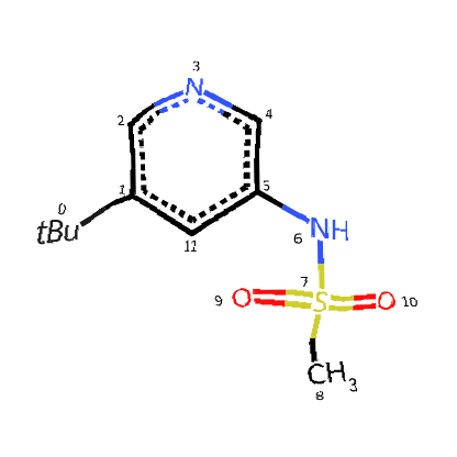 CC(C)(C)c1cncc(NS(C)(=O)=O)c1